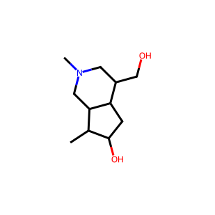 CC1C(O)CC2C(CO)CN(C)CC12